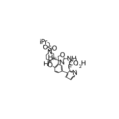 CC(C)CS(=O)(=O)N1CC[C@H]2Oc3ccc(-c4cccnc4F)cc3C3(COC(NC(=O)O)=N3)[C@@H]2C1